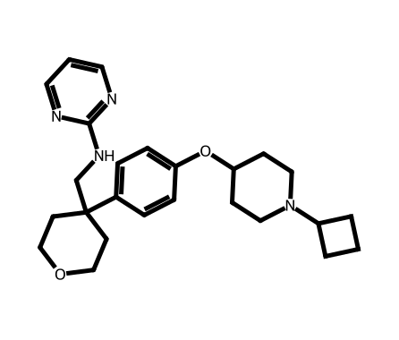 c1cnc(NCC2(c3ccc(OC4CCN(C5CCC5)CC4)cc3)CCOCC2)nc1